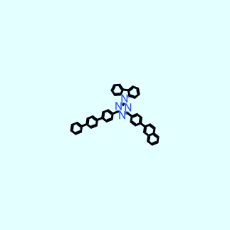 c1ccc(-c2ccc(-c3ccc(-c4nc(-c5ccc(-c6ccc7ccccc7c6)cc5)nc(-n5c6ccccc6c6ccccc65)n4)cc3)cc2)cc1